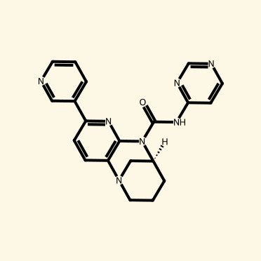 O=C(Nc1ccncn1)N1c2nc(-c3cccnc3)ccc2N2CCC[C@H]1C2